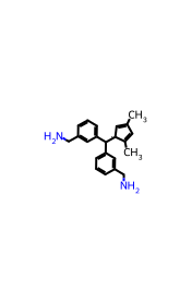 CC1=C[C](C(c2cccc(CN)c2)c2cccc(CN)c2)C(C)=C1